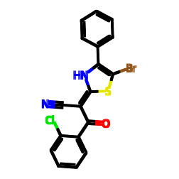 N#CC(C(=O)c1ccccc1Cl)=C1NC(c2ccccc2)=C(Br)S1